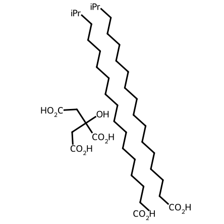 CC(C)CCCCCCCCCCCCCCC(=O)O.CC(C)CCCCCCCCCCCCCCC(=O)O.O=C(O)CC(O)(CC(=O)O)C(=O)O